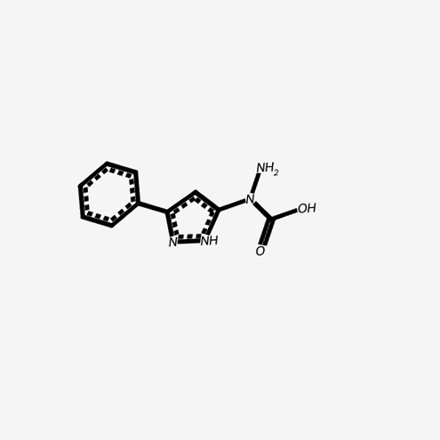 NN(C(=O)O)c1cc(-c2ccccc2)n[nH]1